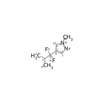 CC(C)C(F)(F)c1cnn(C)c1